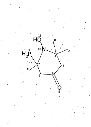 CC1(C)CC(=O)CC(C)(P)N1O